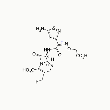 Nc1nc(/C(=N/OCC(=O)O)C(=O)N[C@@H]2C(=O)N3C(C(=O)O)=C(CI)CS[C@H]23)ns1